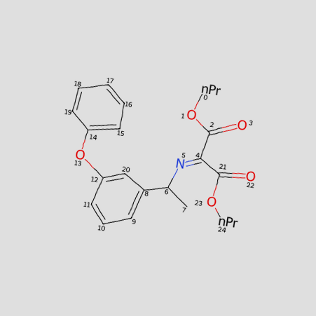 CCCOC(=O)C(=NC(C)c1cccc(Oc2ccccc2)c1)C(=O)OCCC